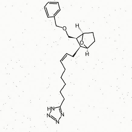 C(=C/C[C@H]1[C@@H](COCc2ccccc2)[C@H]2CC[C@@H]1O2)/CCCCCc1nnn[nH]1